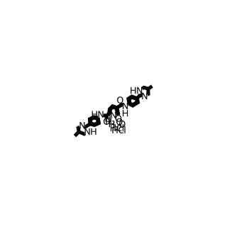 CC1CN=C(c2ccc(NC(=O)c3ccc(C(=O)Nc4ccc(C5=NCC(C)CN5)cc4)nc3)cc2)NC1.Cl.Cl.O.O.O